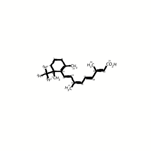 [2H]C([2H])([2H])C1(C)CCCC(C)=C1/C=C/C(C)=C\C=C\C(C)=C\C(=O)O